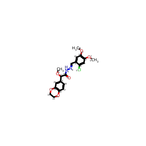 COc1cc(Cl)c(/C=N/NC(=O)C(OC)c2ccc3c(c2)OCCO3)cc1OC